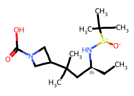 CC[C@@H](CC(C)(C)C1CN(C(=O)O)C1)N[S+]([O-])C(C)(C)C